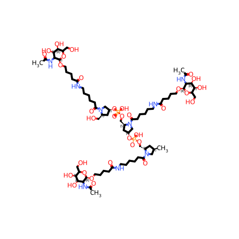 CC(=O)NC1[C@H](OCCCCC(=O)NCCCCCC(=O)N2C[C@H](C)C[C@H]2COP(=O)(O)O[C@@H]2C[C@@H](COP(=O)(O)O[C@@H]3C[C@@H](CO)N(C(=O)CCCCCNC(=O)CCCCO[C@@H]4OC(CO)[C@H](O)[C@H](O)C4NC(C)=O)C3)N(C(=O)CCCCCNC(=O)CCCCO[C@@H]3OC(CO)[C@H](O)[C@H](O)C3NC(C)=O)C2)OC(CO)[C@H](O)[C@@H]1O